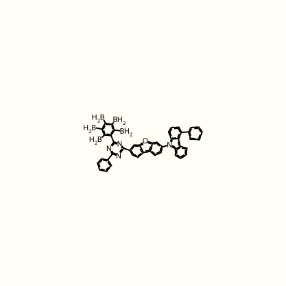 Bc1c(B)c(B)c(-c2nc(-c3ccccc3)nc(-c3ccc4c(c3)oc3cc(-n5c6ccccc6c6c(-c7ccccc7)cccc65)ccc34)n2)c(B)c1B